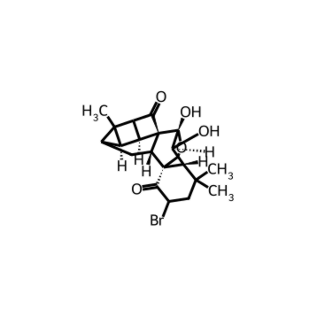 CC1(C)CC(Br)C(=O)[C@]23CO[C@](O)([C@@H](O)[C@H]12)[C@@]12C(=O)C4[C@@H]1[C@H]1C(C[C@@H]32)C41C